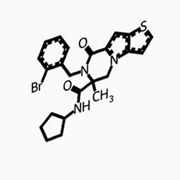 CC1(C(=O)NC2CCCC2)Cn2c(cc3sccc32)C(=O)N1Cc1ccccc1Br